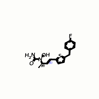 C[C@H](/C=C/c1ccc(Cc2ccc(F)cc2)s1)N(O)C(N)=O